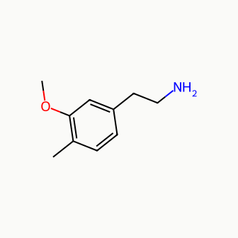 COc1cc(CCN)ccc1C